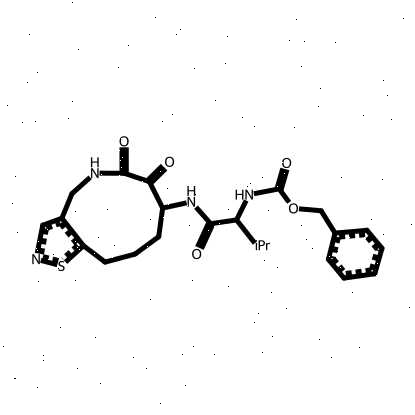 CC(C)C(NC(=O)OCc1ccccc1)C(=O)NC1CCCc2sncc2CNC(=O)C1=O